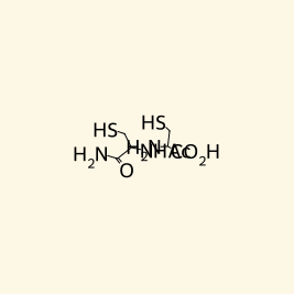 CC(=O)NC(CS)C(N)=O.NC(CS)C(=O)O